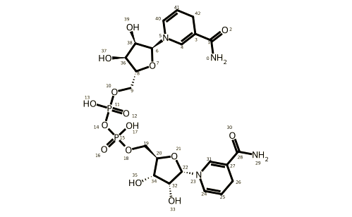 NC(=O)C1=CN([C@H]2O[C@H](COP(=O)(O)OP(=O)(O)OC[C@H]3O[C@H](N4C=CCC(C(N)=O)=C4)[C@H](O)[C@@H]3O)[C@@H](O)[C@H]2O)C=CC1